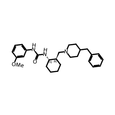 COc1cccc(NC(=O)N[C@H]2CCCC[C@@H]2CN2CCC(Cc3ccccc3)CC2)c1